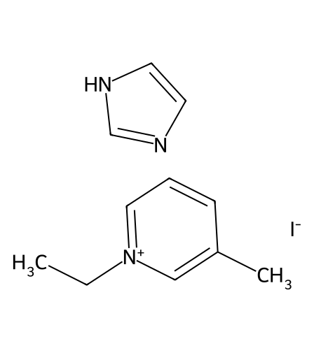 CC[n+]1cccc(C)c1.[I-].c1c[nH]cn1